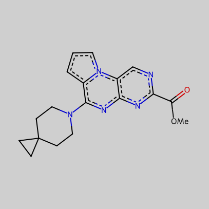 COC(=O)c1ncc2c(n1)nc(N1CCC3(CC1)CC3)c1cccn12